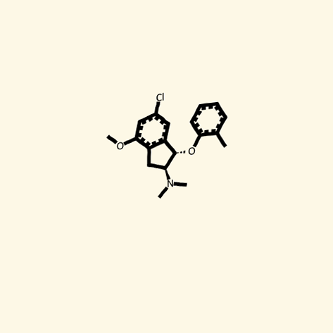 COc1cc(Cl)cc2c1C[C@H](N(C)C)[C@H]2Oc1ccccc1C